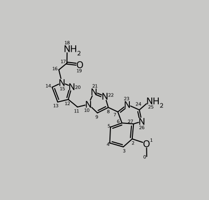 COc1cccc2c(-c3cn(Cc4ccn(CC(N)=O)n4)nn3)nc(N)nc12